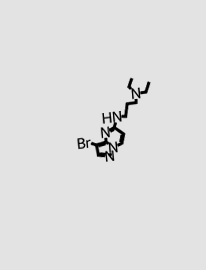 CCN(CC)CCCNc1ccn2ncc(Br)c2n1